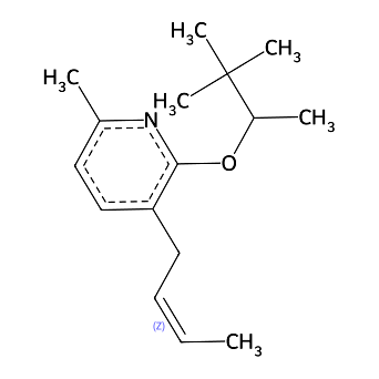 C/C=C\Cc1ccc(C)nc1OC(C)C(C)(C)C